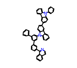 c1ccc(-c2cc(-c3cccc(-c4nccc5ccccc45)c3)cc(-n3c4ccccc4c4cc(-c5ccc6c(c5)c5ccccc5n6-c5ccccc5)ccc43)c2)cc1